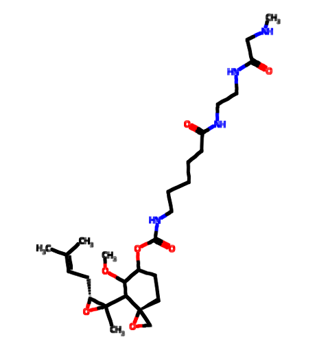 CNCC(=O)NCCNC(=O)CCCCCNC(=O)OC1CC[C@]2(CO2)C(C2(C)O[C@@H]2CC=C(C)C)C1OC